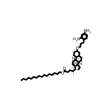 CCCCCCCCCCCCCCCCOC(=O)CC[C@@H](C)[C@H]1CC[C@H]2[C@@H]3CCC4CC(OCCCc5ccc(N)cc5N)CC[C@]4(C)[C@H]3CC[C@]12C